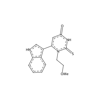 COCCn1c(-c2c[nH]c3ccccc23)cc(=O)[nH]c1=S